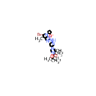 CC1=C(Br)CN(C2CCCC2)c2c1cnc(Nc1ccc(N3CCN(C(=O)OC(C)(C)C)C(C)(C)C3)cn1)[n+]2[O-]